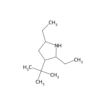 CCC1CC(C(C)(C)C)C(CC)N1